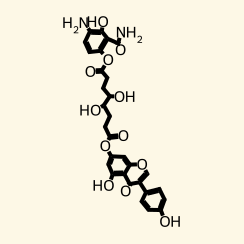 NC(=O)c1c(OC(=O)CCC(O)C(O)CCC(=O)Oc2cc(O)c3c(=O)c(-c4ccc(O)cc4)coc3c2)ccc(N)c1O